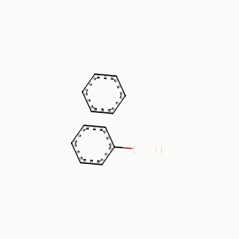 Brc1ccccc1.O.c1ccccc1